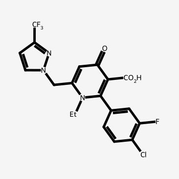 CCn1c(Cn2ccc(C(F)(F)F)n2)cc(=O)c(C(=O)O)c1-c1ccc(Cl)c(F)c1